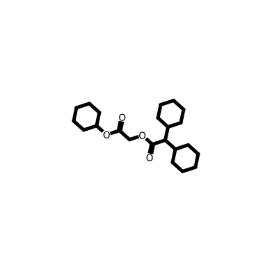 O=C(COC(=O)C(C1CCCCC1)C1CCCCC1)OC1CCCCC1